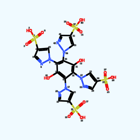 O=S(=O)(O)c1cnn(-c2c(O)c(-n3cc(S(=O)(=O)O)cn3)c(-n3cc(S(=O)(=O)O)cn3)c(O)c2-n2cc(S(=O)(=O)O)cn2)c1